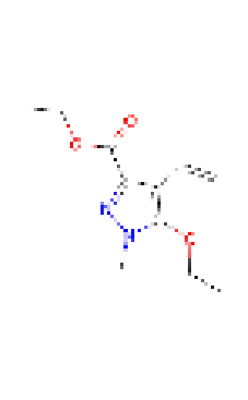 C=Cc1c(C(=O)OCC)nn(C)c1OCC